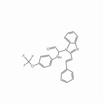 O=CC(Nc1ccc(OC(F)(F)F)cc1)n1c(C=Cc2ccccc2)nc2ccccc21